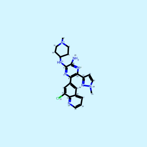 CN1CCC(Nc2nc(-c3cc(Cl)c4ncccc4c3)c(-c3ccn(C)n3)nc2N)CC1